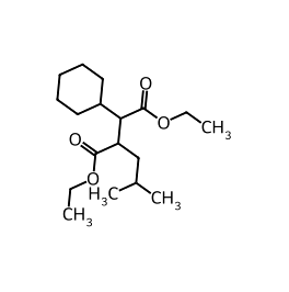 CCOC(=O)C(CC(C)C)C(C(=O)OCC)C1CCCCC1